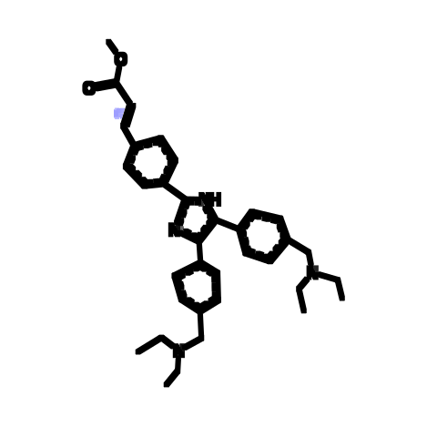 CCN(CC)Cc1ccc(-c2nc(-c3ccc(/C=C/C(=O)OC)cc3)[nH]c2-c2ccc(CN(CC)CC)cc2)cc1